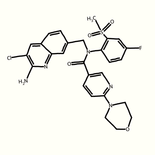 CS(=O)(=O)c1cc(F)ccc1N(Cc1ccc2cc(Cl)c(N)nc2c1)C(=O)c1ccc(N2CCOCC2)nc1